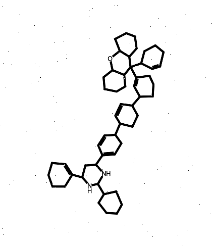 C1=CC(C2(C3=CC(C4C=CC(C5C=CC(C6CC(C7=CCCCC7)NC(C7CCCCC7)N6)=CC5)CC4)CCC3)C3CCCCC3OC3CCCCC32)CCC1